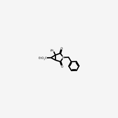 CCOC(=O)C1C2C(=O)N(Cc3ccccc3)C(=O)C12C(C)C